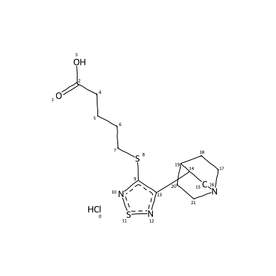 Cl.O=C(O)CCCCSc1nsnc1C1CN2CCC1CC2